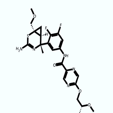 COC[C@]12C[C@H]1[C@](C)(c1cc(NC(=O)c3cnc(OC[C@@H](C)OC)cn3)cc(F)c1F)N=C(N)S2